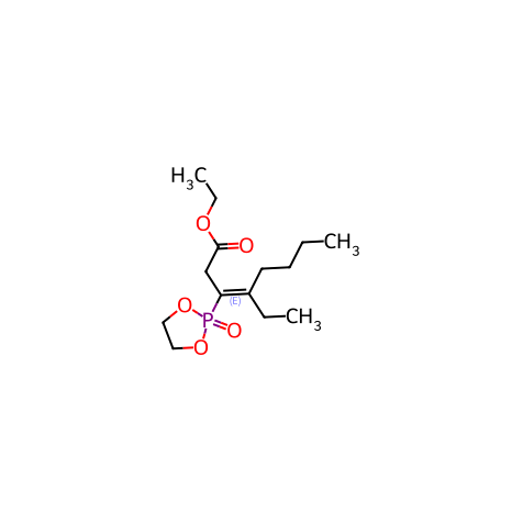 CCCC/C(CC)=C(\CC(=O)OCC)P1(=O)OCCO1